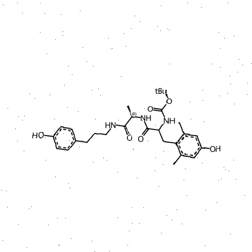 Cc1cc(O)cc(C)c1CC(NC(=O)OC(C)(C)C)C(=O)N[C@H](C)C(=O)NCCCc1ccc(O)cc1